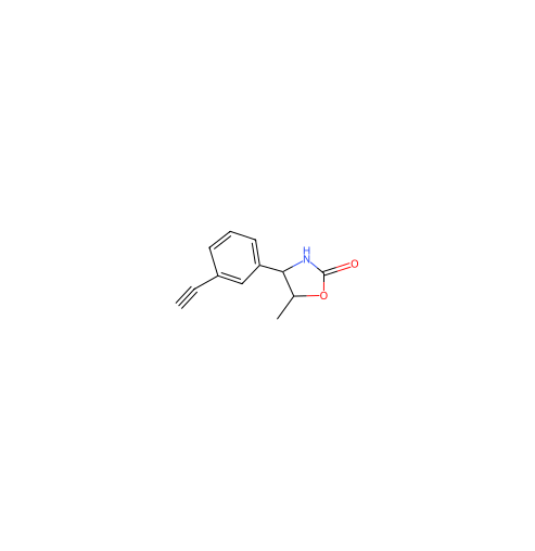 C#Cc1cccc(C2NC(=O)OC2C)c1